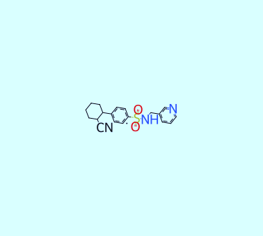 N#CC1CCCCC1c1c[c]c(S(=O)(=O)NCc2cccnc2)cc1